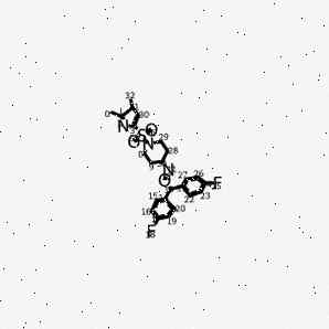 CC1=NC(S(=O)(=O)N2CCC(=NOC(c3ccc(F)cc3)c3ccc(F)cc3)CC2)=CC1C